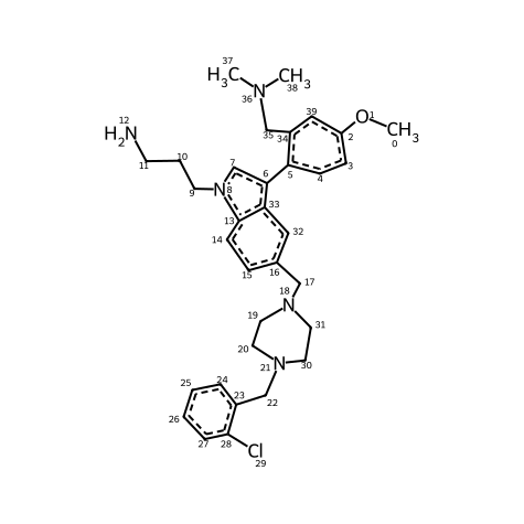 COc1ccc(-c2cn(CCCN)c3ccc(CN4CCN(Cc5ccccc5Cl)CC4)cc23)c(CN(C)C)c1